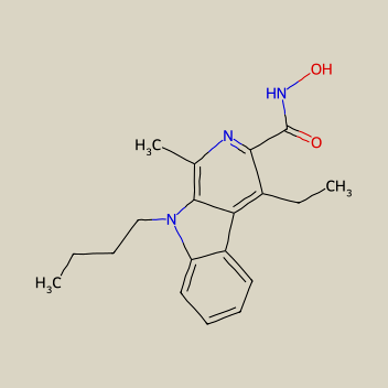 CCCCn1c2ccccc2c2c(CC)c(C(=O)NO)nc(C)c21